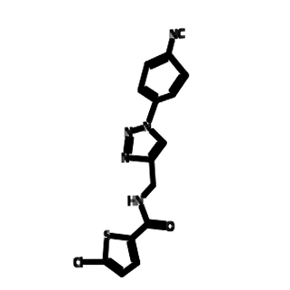 [C-]#[N+]c1ccc(-n2cc(CNC(=O)c3ccc(Cl)s3)nn2)cc1